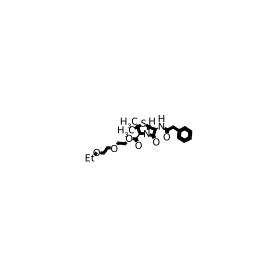 CCOCCOCCOC(=O)[C@@H]1N2C(=O)[C@@H](NC(=O)Cc3ccccc3)[C@H]2SC1(C)C